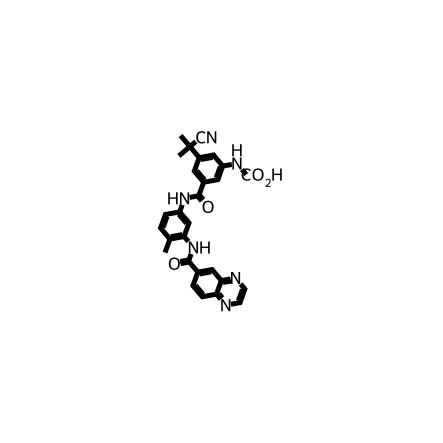 Cc1ccc(NC(=O)c2cc(NC(=O)O)cc(C(C)(C)C#N)c2)cc1NC(=O)c1ccc2nccnc2c1